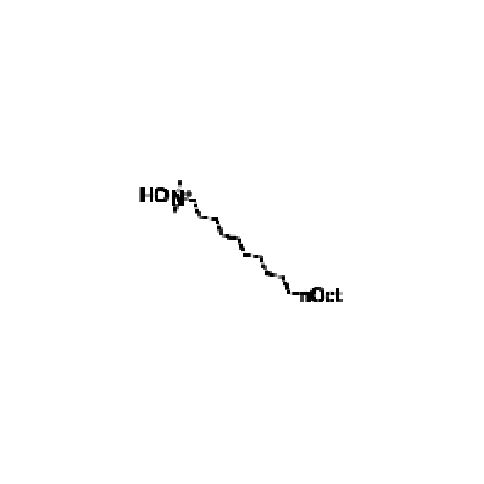 CCCCCCCCCCCCCCCCCC[N+](C)(C)O